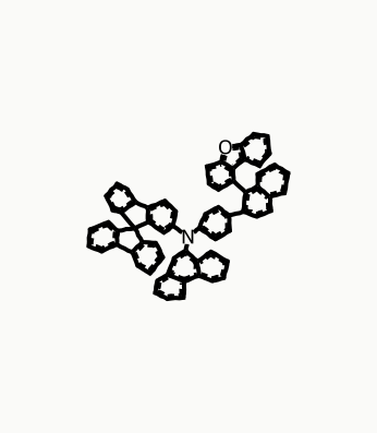 c1ccc2c(c1)-c1ccccc1C21c2ccccc2-c2ccc(N(c3ccc(-c4ccc5ccccc5c4-c4cccc5oc6ccccc6c45)cc3)c3cc4ccccc4c4ccccc34)cc21